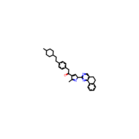 CC1=NC(c2ncc3c(n2)-c2ccccc2CC3)C=C1C(=O)Cc1ccc(CCC2CCC(C)CC2)cc1